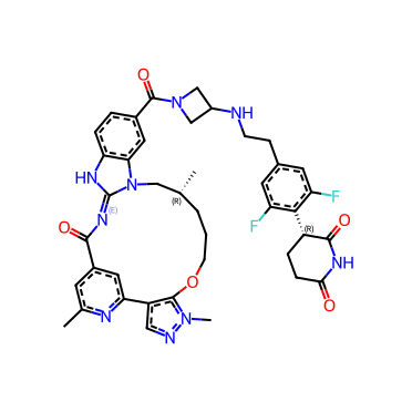 Cc1cc2cc(n1)-c1cnn(C)c1OCCC[C@@H](C)CN1/C(=N/C2=O)Nc2ccc(C(=O)N3CC(NCCc4cc(F)c([C@H]5CCC(=O)NC5=O)c(F)c4)C3)cc21